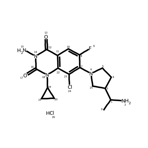 CC(N)C1CCN(c2c(F)cc3c(=O)n(N)c(=O)n(C4CC4)c3c2Cl)C1.Cl